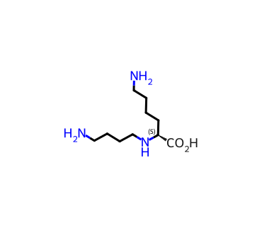 NCCCCN[C@@H](CCCCN)C(=O)O